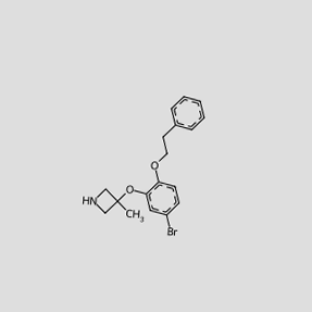 CC1(Oc2cc(Br)ccc2OCCc2ccccc2)CNC1